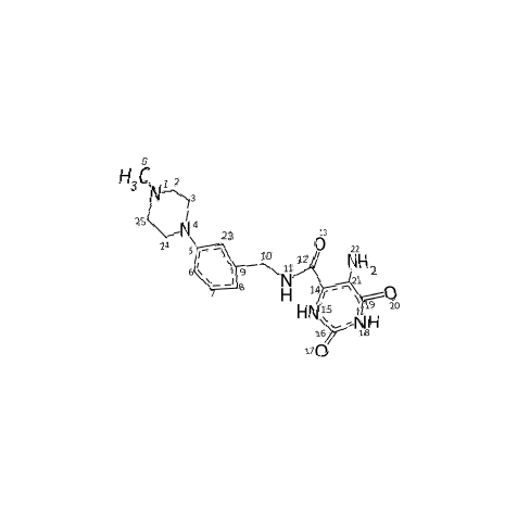 CN1CCN(c2cccc(CNC(=O)c3[nH]c(=O)[nH]c(=O)c3N)c2)CC1